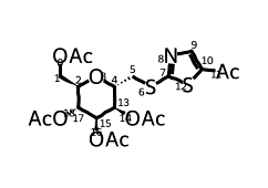 CC(=O)OC[C@H]1O[C@H](CSc2ncc(C(C)=O)s2)[C@@H](OC(C)=O)[C@@H](OC(C)=O)[C@@H]1OC(C)=O